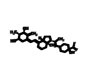 C=C1C(=CC=C2CCC[C@]3(C)[C@@H](C(C)CN4CCC(O)(C(F)F)CC4)CC[C@@H]23)C[C@@H](O)[C@H](C)[C@@H]1O